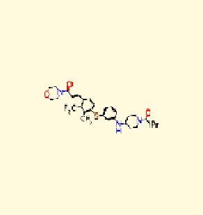 CC(C)C(=O)N1CCC(Nc2cccc(Sc3ccc(/C=C/C(=O)N4CCOCC4)c(C(F)(F)F)c3C(F)(F)F)c2)CC1